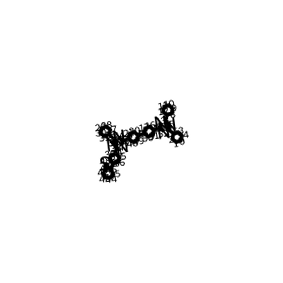 c1ccc(-c2nc(-c3ccccc3)nc(-c3ccc(-c4ccc(-c5nc(-c6ccccc6)nc(-c6ccc7c(c6)sc6ccccc67)n5)cc4)cc3)n2)cc1